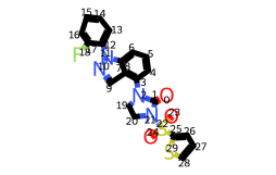 O=C1N(c2cccc3c2cnn3-c2ccccc2F)CCN1S(=O)(=O)c1cccs1